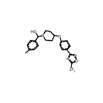 Cc1ccc(C(O)N2CCC(Oc3ccc(-c4noc(C(F)(F)F)n4)cc3)CC2)cc1